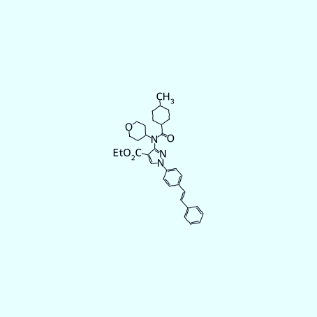 CCOC(=O)c1cn(-c2ccc(C=Cc3ccccc3)cc2)nc1N(C(=O)C1CCC(C)CC1)C1CCOCC1